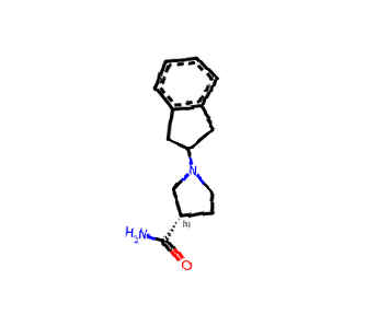 NC(=O)[C@H]1CCN(C2Cc3ccccc3C2)C1